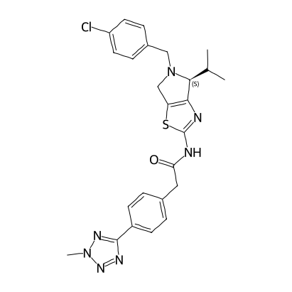 CC(C)[C@H]1c2nc(NC(=O)Cc3ccc(-c4nnn(C)n4)cc3)sc2CN1Cc1ccc(Cl)cc1